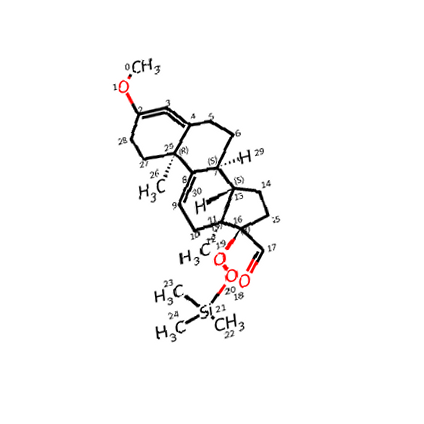 COC1=C=C2CC[C@@H]3C(=CC[C@@]4(C)[C@H]3CC[C@@]4(C=O)OO[Si](C)(C)C)[C@@]2(C)CC1